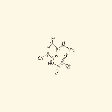 NNc1ccc(Cl)cc1F.O=C(O)C(=O)O